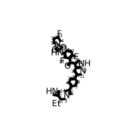 CCC(CN1CC(c2ccc(-c3cnc4[nH]cc(C(=O)c5c(F)ccc(NS(=O)(=O)N6CC[C@@H](F)C6)c5F)c4c3)cc2)C1)C1CNC1